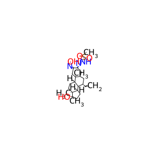 C=C[C@@H]1CC2=CC(=N\NS(C)(=O)=O)/C(=N\O)C[C@]2(C)[C@H]2CC[C@@]3(C)[C@@H](CC[C@]3(C)O)[C@H]12